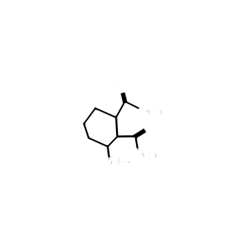 CCCCCCC1CCCC(C(=O)OCC(C)C)C1C(=O)OCC(C)C